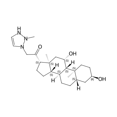 CN1NC=CN1CC(=O)[C@H]1CC[C@H]2[C@@H]3CC[C@H]4C[C@H](O)CC[C@]4(C)[C@H]3[C@@H](O)C[C@]12C